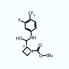 CC(C)(C)OC(=O)N1CC[C@H]1C(O)Nc1ccc(C(F)(F)F)c(F)c1